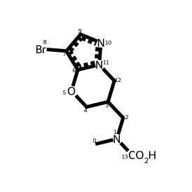 CN(CC1COc2c(Br)cnn2C1)C(=O)O